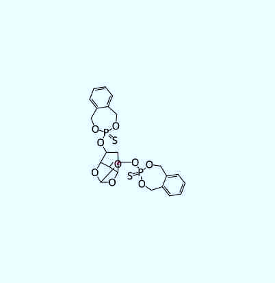 CC1C2OC3OC1C(OP1(=S)OCc4ccccc4CO1)C(O3)C2OP1(=S)OCc2ccccc2CO1